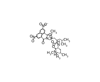 CCOP(=O)(CC(CC(C)C)C(=O)N[C@@H](CC(C)C)C(=O)NC)CN1C(=O)c2cc([N+](=O)[O-])cc3cc([N+](=O)[O-])cc(c23)C1=O